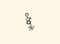 CC(Cl)(Cl)C(=O)Oc1ccc2c(c1)C(C)(C)C(N1CCCC1)O2